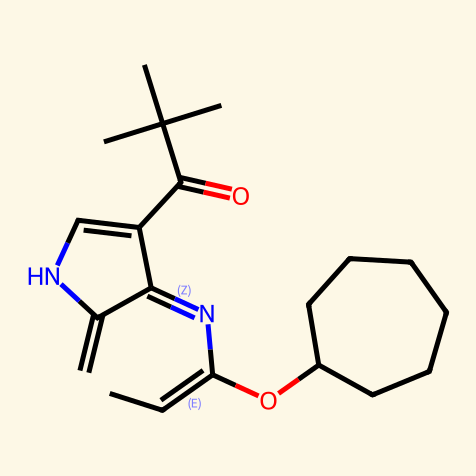 C=C1NC=C(C(=O)C(C)(C)C)/C1=N/C(=C\C)OC1CCCCCC1